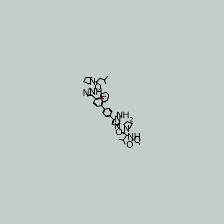 COC(=O)N[C@H](C(=O)N1CCC[C@H]1c1ncc(-c2ccc(-c3ccc(-c4cnc([C@@H]5CCCN5C(=O)CC(C)C)[nH]4)c4c3C3CCC4CC3)cc2)n1N)C(C)C